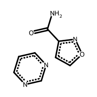 NC(=O)c1ccon1.c1cncnc1